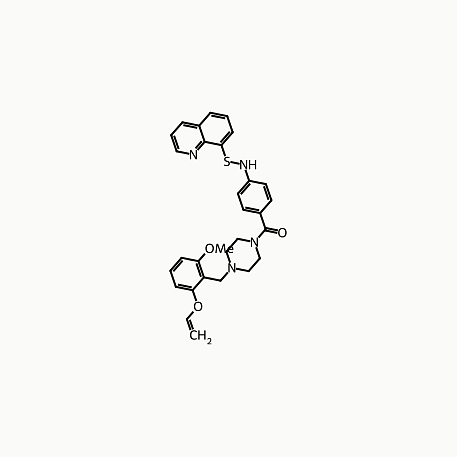 C=COc1cccc(OC)c1CN1CCN(C(=O)c2ccc(NSc3cccc4cccnc34)cc2)CC1